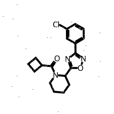 O=C(C1CCC1)N1CCCCC1c1nc(-c2cccc(Cl)c2)no1